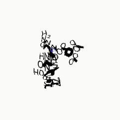 CC(=O)Oc1ccc(C(=O)O/N=C(\C(=O)N[C@@H]2C(=O)N3C(C(=O)O)=C(CSc4nnc(C)s4)CS[C@H]23)c2coc(N)n2)cc1OC(C)=O